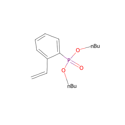 C=Cc1ccccc1P(=O)(OCCCC)OCCCC